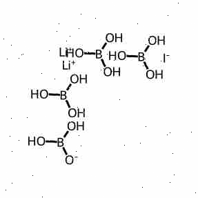 OB(O)O.OB(O)O.OB(O)O.[I-].[Li+].[Li+].[O-]B(O)O